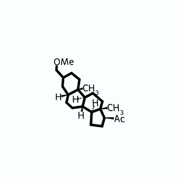 COCC1CC[C@@]2(C)[C@H](CC[C@@H]3[C@@H]2CC[C@]2(C)[C@@H](C(C)=O)CC[C@@H]32)C1